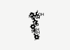 CCC(C(=O)O)C(NC(=O)C1CC(=O)N(c2cccc(NC(=S)NCc3ccccc3)c2)C1)c1cccnc1